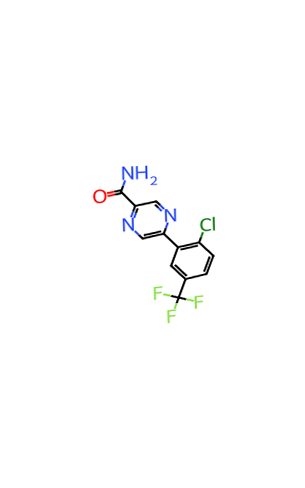 NC(=O)c1cnc(-c2cc(C(F)(F)F)ccc2Cl)cn1